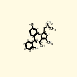 Cc1nc(CN(C)C)n(-c2cc(Br)ccc2C(=O)c2ccccc2F)c1CO